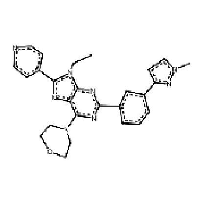 CCn1c(-c2ccncc2)nc2c(N3CCOCC3)nc(-c3cccc(-c4ccn(C)n4)c3)nc21